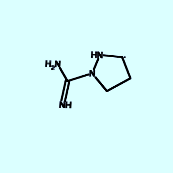 N=C(N)N1CC[CH]N1